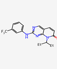 CCC(CC)n1c(=O)ccc2cnc(Nc3cccc(C(F)(F)F)c3)nc21